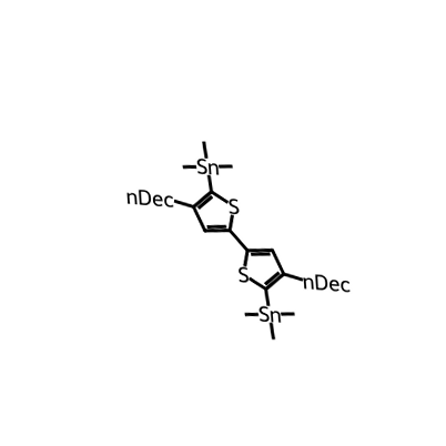 CCCCCCCCCCc1cc(-c2cc(CCCCCCCCCC)[c]([Sn]([CH3])([CH3])[CH3])s2)s[c]1[Sn]([CH3])([CH3])[CH3]